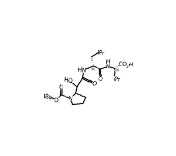 CC(C)C[C@@H](NC(=O)C(O)C1CCCN1C(=O)OC(C)(C)C)C(=O)N[C@H](C(=O)O)C(C)C